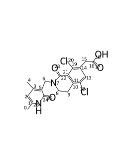 Cc1cc(C)c(CN2CCc3c(Cl)cc(CC(=O)O)c(Cl)c3C2=O)c(=O)[nH]1